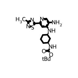 Cc1nsc(-c2cc(N[C@@H]3CCC[C@H](NC(=O)OC(C)(C)C)C3)c(N)cn2)n1